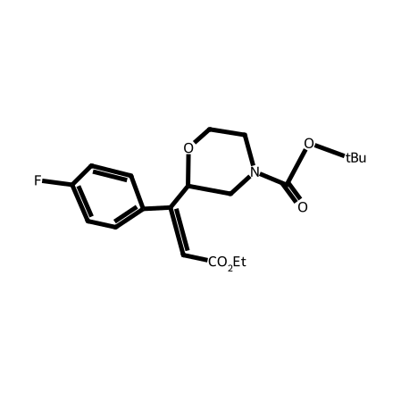 CCOC(=O)C=C(c1ccc(F)cc1)C1CN(C(=O)OC(C)(C)C)CCO1